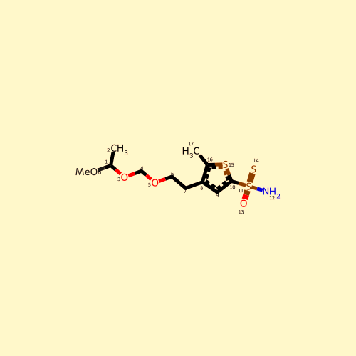 COC(C)OCOCCc1cc(S(N)(=O)=S)sc1C